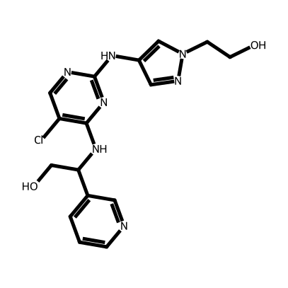 OCCn1cc(Nc2ncc(Cl)c(NC(CO)c3cccnc3)n2)cn1